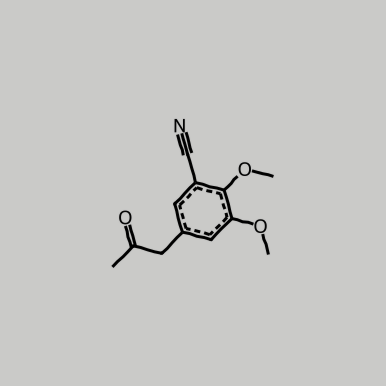 COc1cc(CC(C)=O)cc(C#N)c1OC